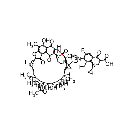 CO[C@H]1/C=C/O[C@@]2(C)Oc3c(C)c(O)c4c(c3C2=O)C(=O)C(N2CCN(C3(C5CCN(c6c(F)cc7c(=O)c(C(=O)O)cn(C8CC8)c7c6CI)C5)CC3)CC2)=C(NC(=O)/C(C)=C\C=C\[C@H](C)[C@H](O)[C@@H](C)[C@@H](O)[C@@H](C)[C@H](OC(C)=O)[C@@H]1C)C4=O